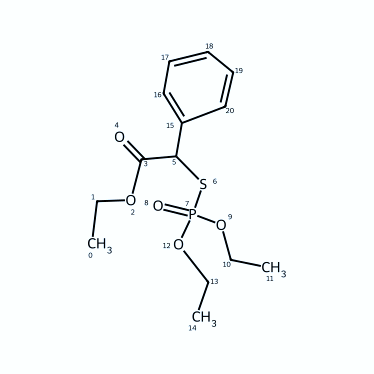 CCOC(=O)C(SP(=O)(OCC)OCC)c1ccccc1